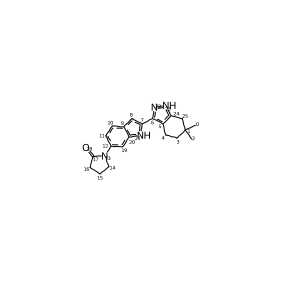 CC1(C)CCc2c(-c3cc4ccc(N5CCCC5=O)cc4[nH]3)n[nH]c2C1